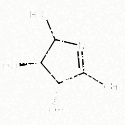 CC1=NC(C)[C@H](O)[C@H]1O